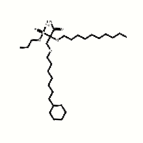 CCCCCCCCCCOC(CSCCCCCCCC1CCCCC1)(C(=O)O)P(=O)(O)OCCC